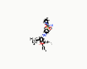 CC(C)c1cc(/N=N/c2ccc(S(=O)(=O)Nc3ccccn3)cc2)cc(C(C)C)c1O